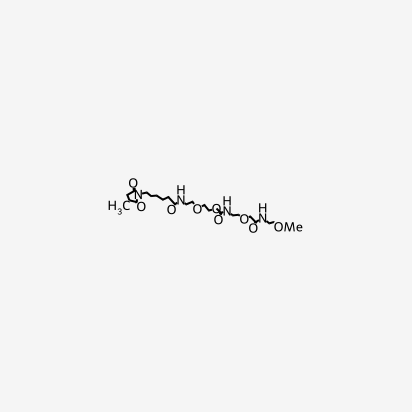 COCCNC(=O)COCCNC(=O)OCCOCCNC(=O)CCCCCN1C(=O)CC(C)C1=O